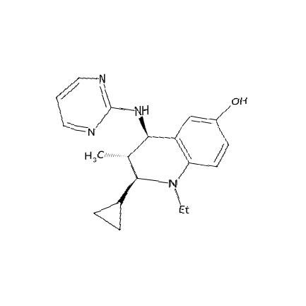 CCN1c2ccc(O)cc2[C@H](Nc2ncccn2)[C@@H](C)[C@@H]1C1CC1